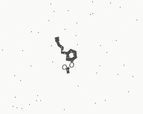 C#CCCCc1cccc(OC(C)=O)c1